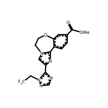 COC(=O)c1ccc2c(c1)OCCn1cc(-c3ncnn3CC(F)(F)F)nc1-2